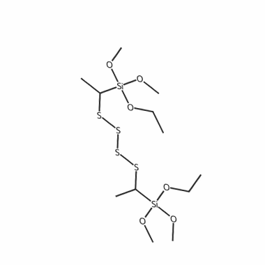 CCO[Si](OC)(OC)C(C)SSSSC(C)[Si](OC)(OC)OCC